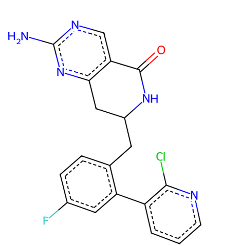 Nc1ncc2c(n1)CC(Cc1ccc(F)cc1-c1cccnc1Cl)NC2=O